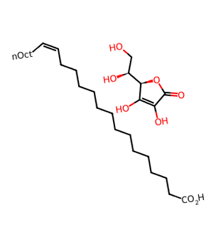 CCCCCCCC/C=C\CCCCCCCCCCCCCC(=O)O.O=C1O[C@H]([C@@H](O)CO)C(O)=C1O